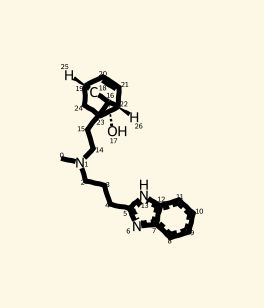 CN(CCCc1nc2ccccc2[nH]1)CC[C@@]1(O)C[C@H]2C=C[C@@H]1CC2